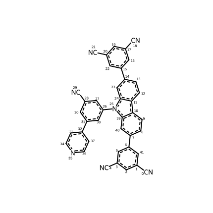 N#Cc1cc(C#N)cc(-c2ccc3c4ccc(-c5cc(C#N)cc(C#N)c5)cc4n(-c4cc(C#N)cc(-c5ccncc5)c4)c3c2)c1